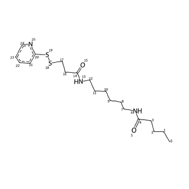 CCCCC(=O)NCCCCCCNC(=O)CCSSc1ccccn1